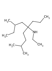 CCCC(CCC(C)C)(CC(C)CC)NCC